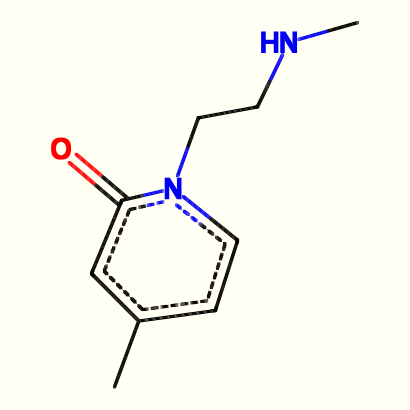 CNCCn1ccc(C)cc1=O